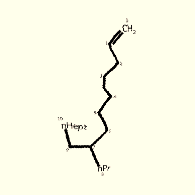 C=CCCCCCC(CCC)CCCCCCCC